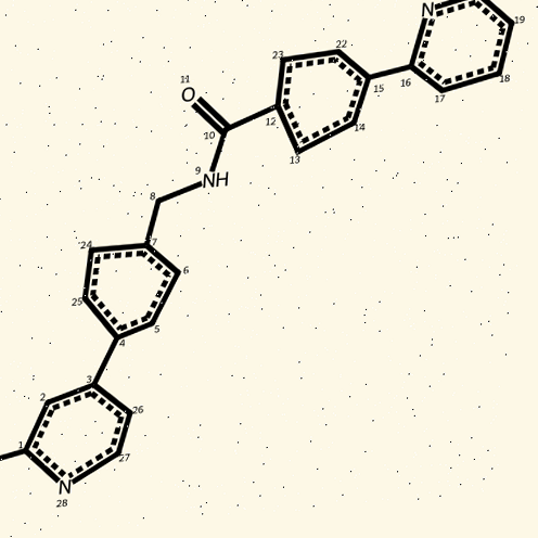 Cc1cc(-c2ccc(CNC(=O)c3ccc(-c4ccccn4)cc3)cc2)ccn1